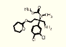 CN(C(=O)OC(C)(C)C)C(CN)(CCOC1CCCCO1)c1ccc(Cl)c(Cl)c1